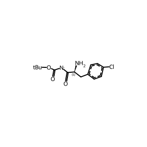 CC(C)(C)OC(=O)[N]C(=O)[C@@H](N)Cc1ccc(Cl)cc1